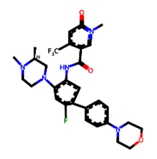 C[C@H]1CN(c2cc(F)c(-c3ccc(N4CCOCC4)cc3)cc2NC(=O)c2cn(C)c(=O)cc2C(F)(F)F)CCN1C